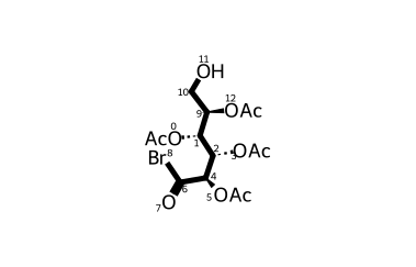 CC(=O)O[C@@H]([C@H](OC(C)=O)[C@@H](OC(C)=O)C(=O)Br)[C@@H](CO)OC(C)=O